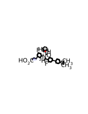 [2H][C@H](c1ccc(-c2ccc(N(C)C)cc2)cc1F)N(C(=O)[C@H]1C[C@@H]2CC[C@H]1C2)c1cc(F)cc(/C=C/C(=O)O)c1